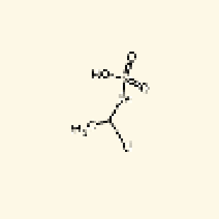 C[CH](Cl)[Fe][S](=O)(=O)O